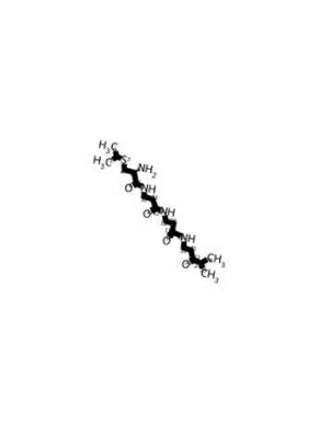 CC(C)SC[C@H](N)C(=O)NCCC(=O)NCCC(=O)NCCC(=O)C(C)C